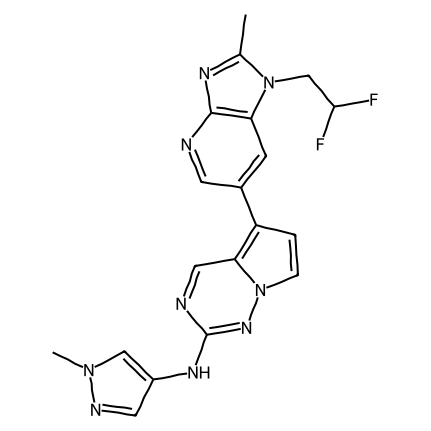 Cc1nc2ncc(-c3ccn4nc(Nc5cnn(C)c5)ncc34)cc2n1CC(F)F